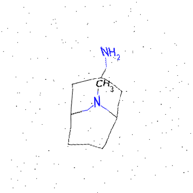 CN1C2CCC1CC(N)C2